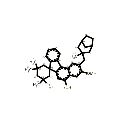 COc1cc2c(O)cc3c(c2cc1CC1(C)CC2CCC(C2)C1)-c1ccccc1C31CC(C)(C)CC(C)(C)C1